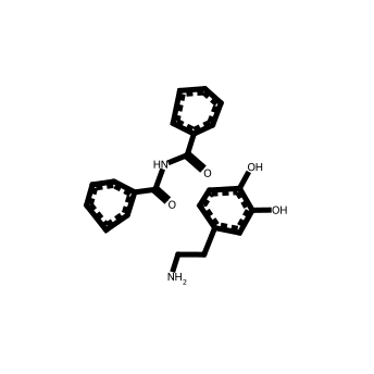 NCCc1ccc(O)c(O)c1.O=C(NC(=O)c1ccccc1)c1ccccc1